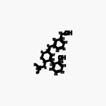 CN(C)CC1CCC(=Cc2cccc(CO)c2)C=C1c1ccccc1O